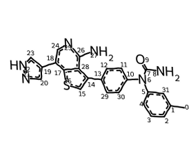 Cc1cccc(N(C(N)=O)c2ccc(-c3csc4c(-c5cn[nH]c5)cnc(N)c34)cc2)c1